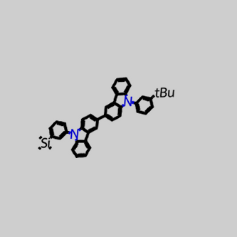 CC(C)(C)c1cccc(-n2c3ccccc3c3cc(-c4ccc5c(c4)c4ccccc4n5-c4cccc([Si](C)(C)C)c4)ccc32)c1